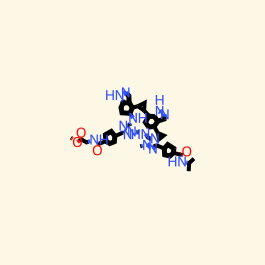 COC(=O)CNC(=O)c1ccc(-c2nc(Nc3ccc4[nH]ncc4c3C3CC3c3cc(Nc4nc(-c5ccc(C(=O)NC(C)C)cc5)nn4C)c(C4CC4)c4cn[nH]c34)n(C)n2)cc1